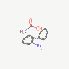 CC(=O)O.Nc1ccccc1-c1ccccc1